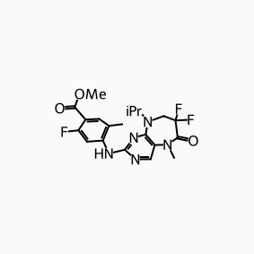 COC(=O)c1cc(C)c(Nc2ncc3c(n2)N(C(C)C)CC(F)(F)C(=O)N3C)cc1F